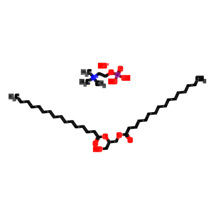 CCCCCCCCCCCCCCCC(=O)OCC(CO)OC(=O)CCCCCCCCCCCCCCC.C[N+](C)(C)CCOP(=O)(O)O.[OH-]